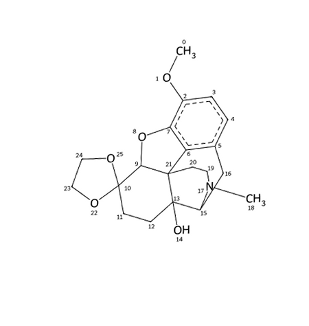 COc1ccc2c3c1OC1C4(CCC5(O)C(C2)N(C)CCC315)OCCO4